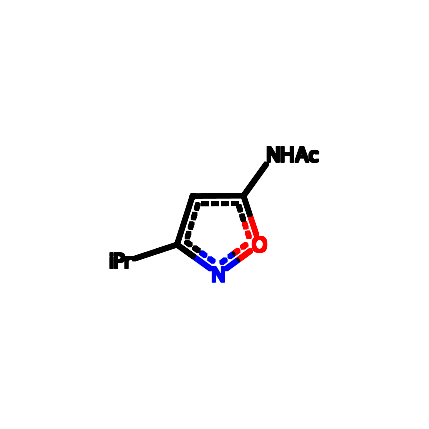 CC(=O)Nc1cc(C(C)C)no1